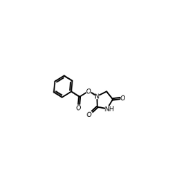 O=C1CN(OC(=O)c2ccccc2)C(=O)N1